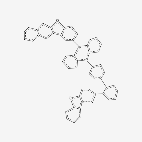 c1ccc(-c2ccc3oc4ccccc4c3c2)c(-c2ccc(-c3c4ccccc4c(-c4ccc5oc6cc7ccccc7cc6c5c4)c4ccccc34)cc2)c1